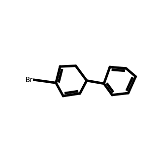 BrC1=CCC(c2ccccc2)C=C1